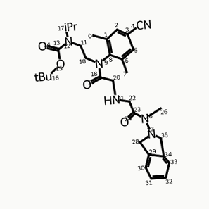 Cc1cc(C#N)cc(C)c1N(CCN(C(=O)OC(C)(C)C)C(C)C)C(=O)CNCC(=O)N(C)N1Cc2ccccc2C1